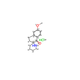 COc1ccc2c(c1)CCC1(CCCCN1)C2=O.Cl